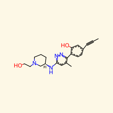 CC#Cc1ccc(-c2nnc(N[C@@H]3CCCN(CCO)C3)cc2C)c(O)c1